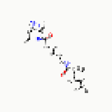 C=C/C=C(N)\C(=C/C)NC(=O)CCCCCNC(=O)/C(C=C)=C(\C)C=C(C)C